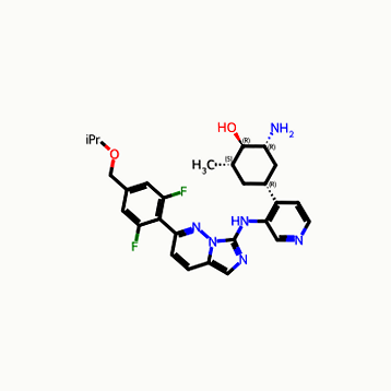 CC(C)OCc1cc(F)c(-c2ccc3cnc(Nc4cnccc4[C@H]4C[C@@H](N)[C@H](O)[C@@H](C)C4)n3n2)c(F)c1